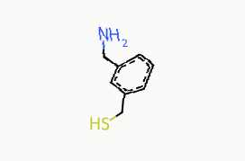 NCc1cccc(CS)c1